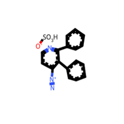 N#[N+]c1ccnc(-c2ccccc2)c1-c1ccccc1.O=S(=O)([O-])O